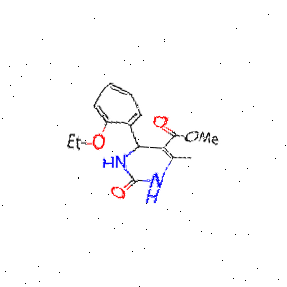 CCOc1ccccc1C1NC(=O)NC(C)=C1C(=O)OC